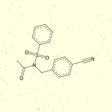 CC(=O)N(Cc1ccc(C#N)cc1)S(=O)(=O)c1ccccc1